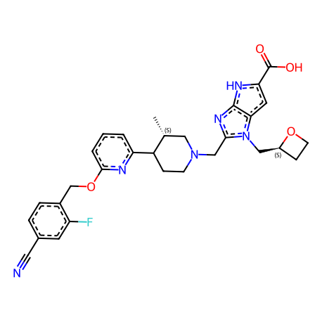 C[C@@H]1CN(Cc2nc3[nH]c(C(=O)O)cc3n2C[C@@H]2CCO2)CCC1c1cccc(OCc2ccc(C#N)cc2F)n1